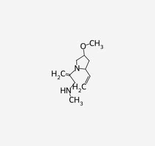 C=CC1CC(OC)CN1C(=C)CNC